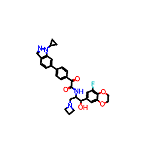 O=C(NC(CN1CCC1)C(O)c1cc(F)c2c(c1)OCCO2)C(=O)c1ccc(-c2ccc3cnn(C4CC4)c3c2)cc1